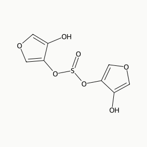 O=S(Oc1cocc1O)Oc1cocc1O